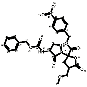 COCC1CC(C(=O)OCc2ccc([N+](=O)[O-])cc2)(N2OC[C@H](NC(=O)OCc3ccccc3)C2=O)OC1=O